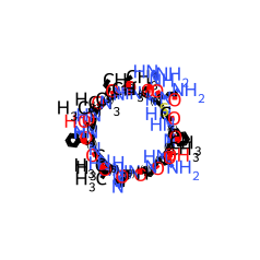 CCC/C=C1\C(=O)N[C@@H](CCCNC(=N)N)C(=O)N[C@H](C(=O)NCC(N)=O)CSCC(=O)N[C@@H](Cc2ccccc2)C(=O)N(C)[C@@H](C)C(O)N[C@@H](CC(N)=O)C(=O)N2CCC[C@H]2C(=O)N[C@@H](Cc2cnc[nH]2)C(=O)N[C@@H](CC(C)C)C(=O)N(C)CC(=O)N[C@@H](Cc2c[nH]c3ccccc23)C(=O)N[C@@H](CO)C(=O)N[C@@H]([C@@H](C)CC)C(=O)N(C)[C@@H](CCCC)C(=O)N1C